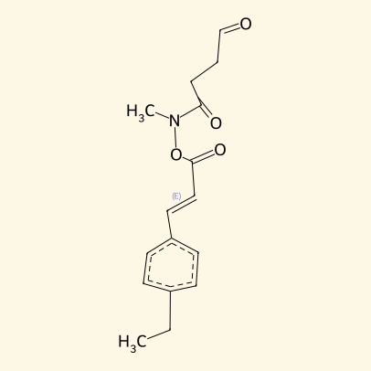 CCc1ccc(/C=C/C(=O)ON(C)C(=O)CCC=O)cc1